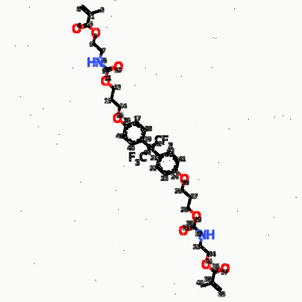 C=C(C)C(=O)OCCNC(=O)OCCCOc1ccc(C(c2ccc(OCCCOC(=O)NCCOC(=O)C(=C)C)cc2)(C(F)(F)F)C(F)(F)F)cc1